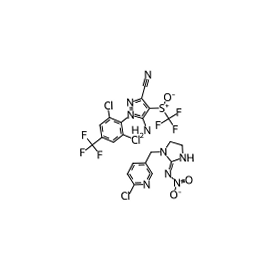 N#Cc1nn(-c2c(Cl)cc(C(F)(F)F)cc2Cl)c(N)c1[S+]([O-])C(F)(F)F.O=[N+]([O-])/N=C1\NCCN1Cc1ccc(Cl)nc1